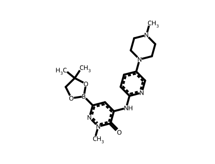 CN1CCN(c2ccc(Nc3cc(B4OCC(C)(C)O4)nn(C)c3=O)nc2)CC1